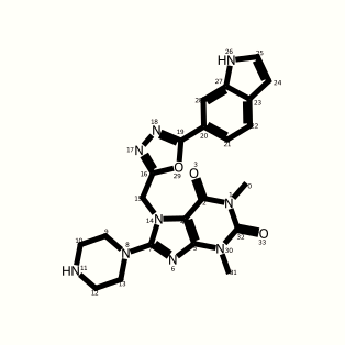 Cn1c(=O)c2c(nc(N3CCNCC3)n2Cc2nnc(-c3ccc4cc[nH]c4c3)o2)n(C)c1=O